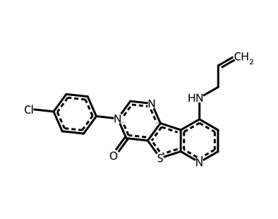 C=CCNc1ccnc2sc3c(=O)n(-c4ccc(Cl)cc4)cnc3c12